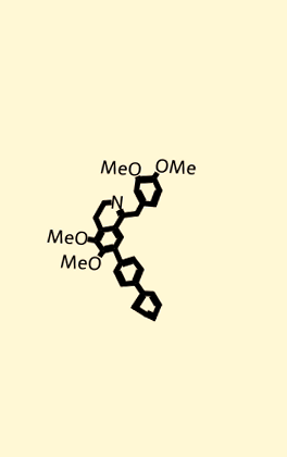 COc1ccc(CC2=NCCc3c2cc(-c2ccc(-c4ccccc4)cc2)c(OC)c3OC)cc1OC